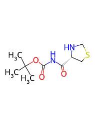 CC(C)(C)OC(=O)NC(=O)[C@H]1CSCN1